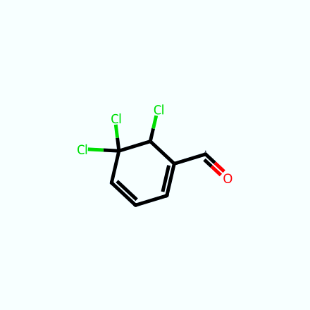 O=[C]C1=CC=CC(Cl)(Cl)C1Cl